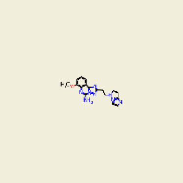 COc1cccc2c1nc(N)n1nc(CCN3CCc4nccn43)nc21